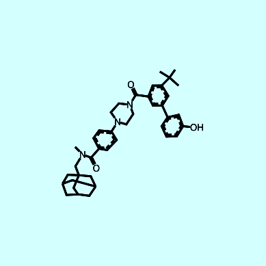 CN(CC12CC3CC(CC(C3)C1)C2)C(=O)c1ccc(N2CCN(C(=O)c3cc(-c4cccc(O)c4)cc(C(C)(C)C)c3)CC2)cc1